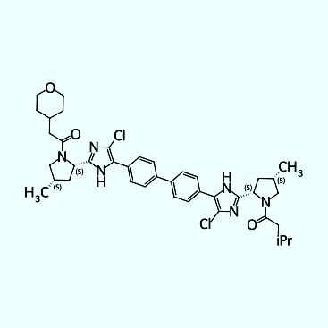 CC(C)CC(=O)N1C[C@@H](C)C[C@H]1c1nc(Cl)c(-c2ccc(-c3ccc(-c4[nH]c([C@@H]5C[C@H](C)CN5C(=O)CC5CCOCC5)nc4Cl)cc3)cc2)[nH]1